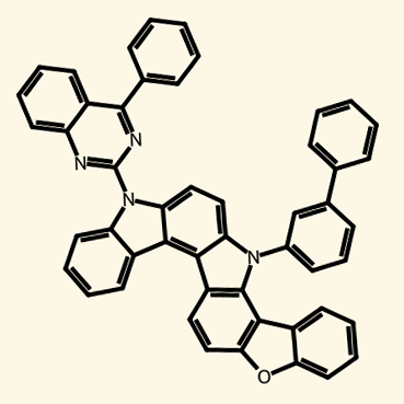 c1ccc(-c2cccc(-n3c4ccc5c(c6ccccc6n5-c5nc(-c6ccccc6)c6ccccc6n5)c4c4ccc5oc6ccccc6c5c43)c2)cc1